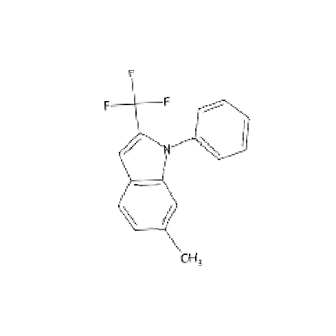 Cc1ccc2cc(C(F)(F)F)n(-c3ccccc3)c2c1